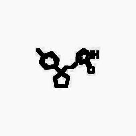 Cc1ccc(C2(CCn3cc[nH]c3=O)CCCC2)cc1